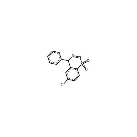 O=S1(=O)N=NC(c2ccccc2)c2cc(Cl)ccc21